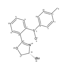 Cc1ccc([S+]([O-])c2ccccc2C2=N[C@H](C(C)(C)C)CO2)cc1